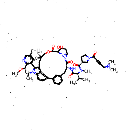 CCn1c(-c2cc(C)cnc2[C@H](C)OC)c2c3cc(ccc31)-c1cccc(c1)C[C@H](NC(=O)[C@H](C(C)C)N(C)C(=O)[C@H]1CCN(C(=O)C#CCN(C)C)C1)C(=O)N1CCC[C@@](O)(N1)C(=O)OCC(C)(C)C2